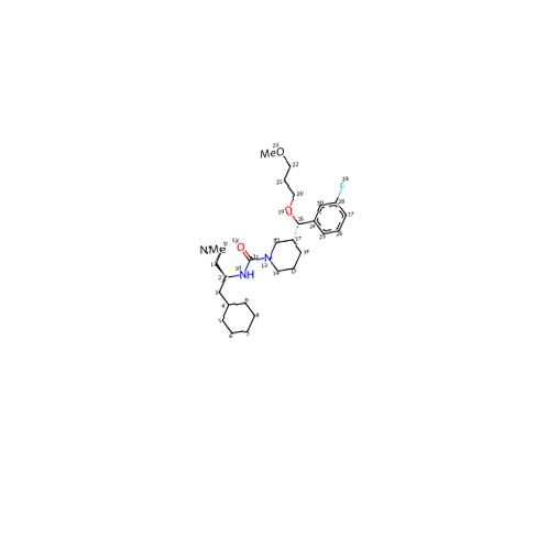 CNC[C@H](CC1CCCCC1)NC(=O)N1CCC[C@@H](C(OCCCOC)c2cccc(F)c2)C1